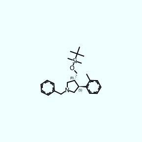 Cc1ccccc1[C@H]1CN(Cc2ccccc2)C[C@@H]1CO[Si](C)(C)C(C)(C)C